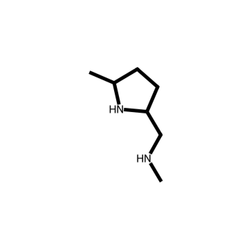 CNCC1CCC(C)N1